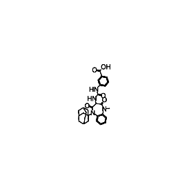 CN1C(=O)C(NC(=O)Nc2cccc(C(=O)O)c2)C(=O)N(C23CC4CC(CC(C4)C2)C3)c2ccccc21